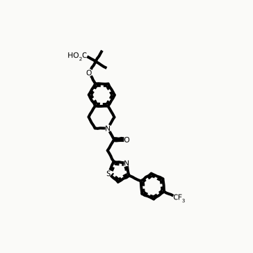 CC(C)(Oc1ccc2c(c1)CCN(C(=O)Cc1nc(-c3ccc(C(F)(F)F)cc3)cs1)C2)C(=O)O